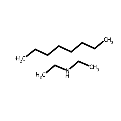 CCNCC.[CH2]CCCCCCC